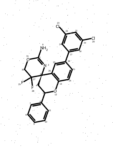 NC1=N[C@@]2(CC(c3ccccc3)Oc3ccc(-c4cc(Cl)cc(Cl)c4)cc32)C(F)(F)CO1